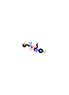 CCCc1c(OC(=O)NCCc2cccs2)cnn1-c1ccc(Cl)cc1